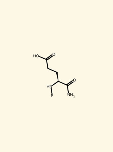 NC(=O)[C@H](CCC(=O)O)NF